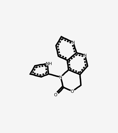 O=C1OCc2cnc3ncccc3c2N1c1ccc[nH]1